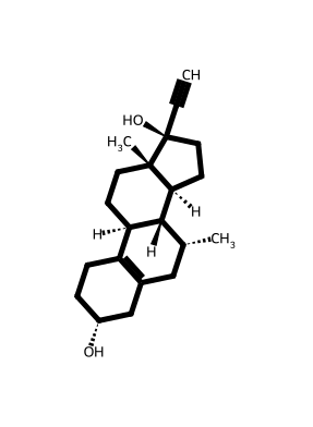 C#C[C@]1(O)CC[C@H]2[C@@H]3[C@H](C)CC4=C(CC[C@@H](O)C4)[C@H]3CC[C@@]21C